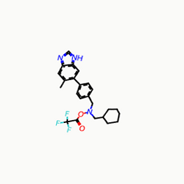 Cc1cc2nc[nH]c2cc1-c1ccc(CN(CC2CCCCC2)OC(=O)C(F)(F)F)cc1